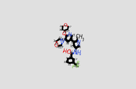 Cc1ncc(NC(O)c2cccc(C(F)(F)F)c2)cc1-c1cnc(OC2CCOCC2)c(N2CCOCC2)c1